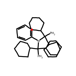 PC(C1CCCCC1)(C1CCCCC1)N(c1ccccc1)C(P)(C1CCCCC1)C1CCCCC1